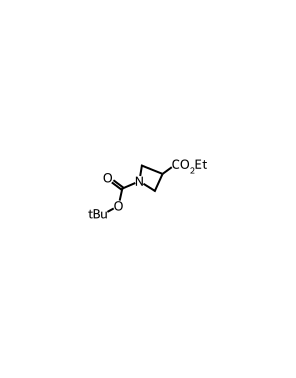 CCOC(=O)C1CN(C(=O)OC(C)(C)C)C1